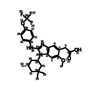 COc1cc2c(cc1CC(=O)O)nc(Nc1ccc(OC(F)(F)F)cc1)n2[C@@H]1C[C@@H](C)CC(C)(C)C1